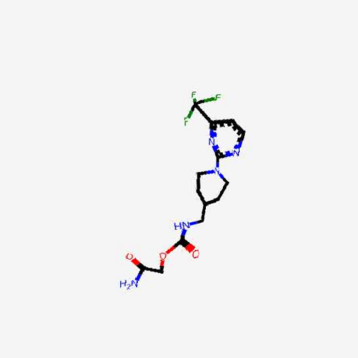 NC(=O)COC(=O)NCC1CCN(c2nccc(C(F)(F)F)n2)CC1